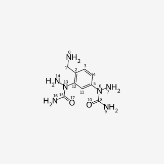 NCc1c[c]c(N(N)C(N)=O)cc1N(N)C(N)=O